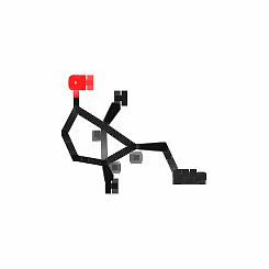 CSC[C@H]1[C@@H]2CCC(O)[C@@H]21